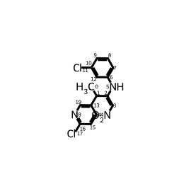 CC(/C(=C\[N+](=O)[O-])Nc1cccc(Cl)c1)c1ccc(Cl)nc1